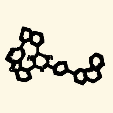 c1ccc(-c2ccc3oc4cccc(C5N=C(c6ccc(-c7ccc8ccc9ccccc9c8c7)cc6)NC(c6ccccc6)N5)c4c3c2)cc1